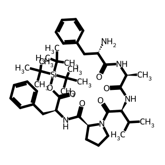 CC(C)[C@H](NC(=O)[C@H](C)NC(=O)[C@@H](N)Cc1ccccc1)C(=O)N1CCC[C@H]1C(=O)N[C@@H](Cc1ccccc1)C(=O)O[Si](C(C)(C)C)(C(C)(C)C)C(C)(C)C